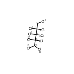 [O]CC(Cl)(Cl)C(Cl)(Cl)C(Cl)(Cl)C(Cl)Cl